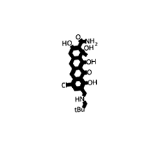 CC(C)(C)CNCc1cc(Cl)c2c(c1O)C(=O)C1=C(O)C3C(CC1=C2)CC(O)=C(C(N)=O)C3(C)O